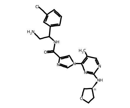 Cc1cnc(N[C@H]2CCOC2)nc1-n1cnc(C(=O)NC(CN)c2cccc(Cl)c2)c1